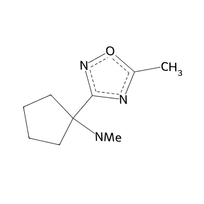 CNC1(c2noc(C)n2)CCCC1